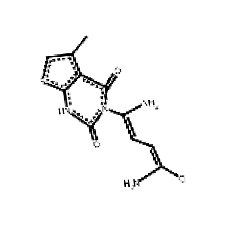 Cc1csc2[nH]c(=O)n(/C(N)=C/C=C(\N)Cl)c(=O)c12